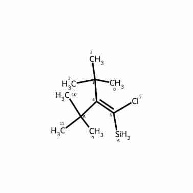 CC(C)(C)C(=C([SiH3])Cl)C(C)(C)C